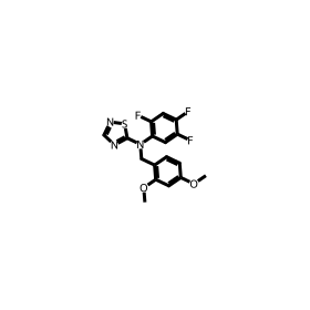 COc1ccc(CN(c2ncns2)c2cc(F)c(F)cc2F)c(OC)c1